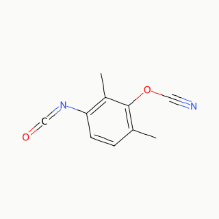 Cc1ccc(N=C=O)c(C)c1OC#N